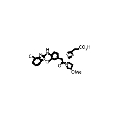 CO[C@H]1C[C@@H](c2ncc(CCC(=O)O)s2)N(C(=O)Cc2ccc(Nc3nc4c(Cl)cccc4s3)c(Cl)c2)C1